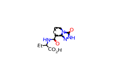 CCC(NC(=O)c1cccn2c(=O)[nH]nc12)C(=O)O